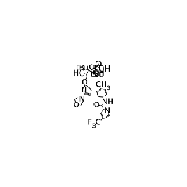 Cc1ccc(NC(=O)c2cc(C(F)(F)F)ccn2)cc1-c1cc(OC[C@@H](O)C(OP(=O)(O)O)(C(C)(C)C)C(C)(C)C)nc(N2CCOCC2)c1